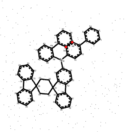 c1ccc(-c2ccc(N(c3ccc4c(c3)C3(CCC5(CC3)c3ccccc3-c3ccccc35)c3ccccc3-4)c3ccccc3-c3ccccc3)cc2)cc1